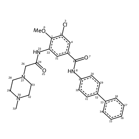 COc1c(Cl)cc(C(=O)Nc2ccc(-c3ccccc3)cc2)cc1NC(=O)CN1CCN(C)CC1